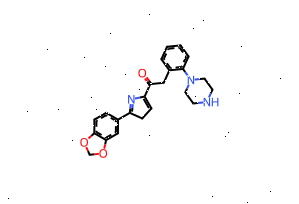 O=C(Cc1ccccc1N1CCNCC1)C1=CCC(c2ccc3c(c2)OCO3)=N1